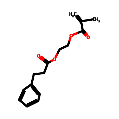 C=C(C)C(=O)OCCOC(=O)CCc1ccccc1